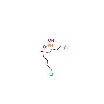 CC(CCCCCl)(CCCCCl)OPO